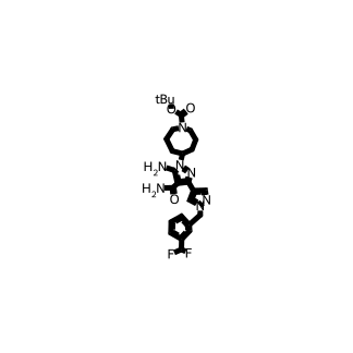 CC(C)(C)OC(=O)N1CCCC(n2nc(-c3cnn(Cc4cccc(C(F)F)c4)c3)c(C(N)=O)c2N)CCC1